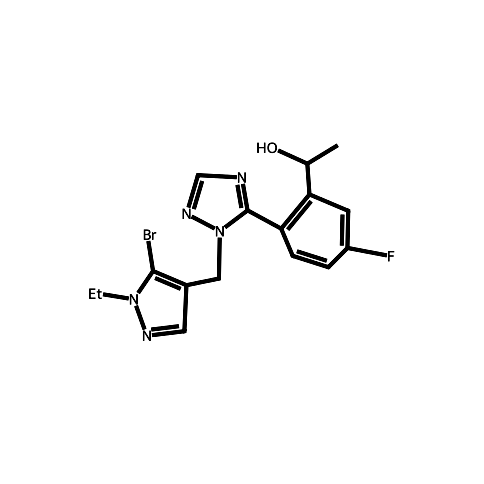 CCn1ncc(Cn2ncnc2-c2ccc(F)cc2C(C)O)c1Br